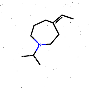 C/C=C1/CCCN(C(C)C)CC1